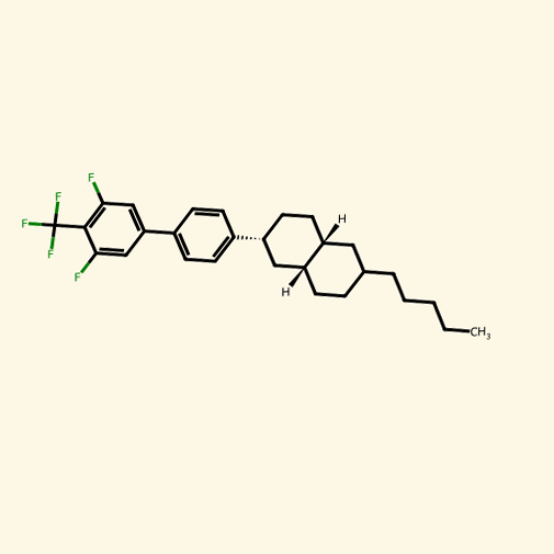 CCCCCC1CC[C@@H]2C[C@H](c3ccc(-c4cc(F)c(C(F)(F)F)c(F)c4)cc3)CC[C@@H]2C1